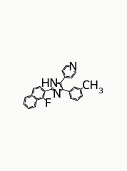 Cc1cccc(-c2nc(-c3ccc4ccccc4c3F)[nH]c2-c2ccncc2)c1